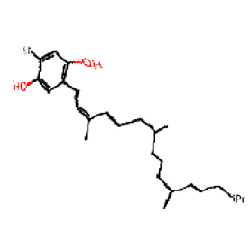 CCc1cc(O)c(CC=C(C)CCCC(C)CCCC(C)CCCC(C)C)cc1O